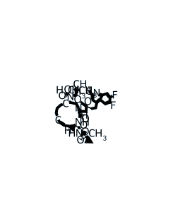 Cc1nc2cc(F)c(F)cc2c2c1O[C@]1(CC2)C[C@H]2C(=O)N[C@]3(C(=O)NS(=O)(=O)C4(C)CC4)C[C@H]3/C=C\CCCCC[C@H](N(CC(C)(C)C)C(=O)O)C(=O)N2C1